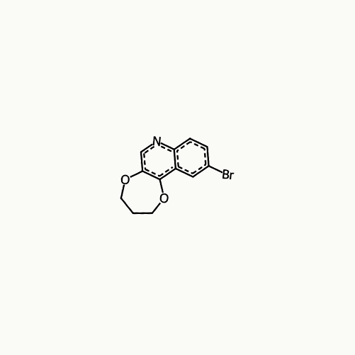 Brc1ccc2ncc3c(c2c1)OCCCO3